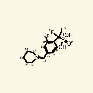 O=P(O)(O)C(F)(F)c1ccc(CN2CCCCC2)cc1Br